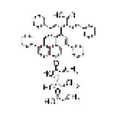 C=CC(=O)O.C=CC(=O)O.C=CC(=O)O.O=C(O)C(C=Cc1ccccc1)=C(C=Cc1ccccc1)C(C=Cc1ccccc1)=C(C=Cc1ccccc1)c1ccccc1C=Cc1ccccc1